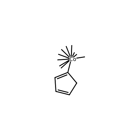 [CH3][Co]([CH3])([CH3])([CH3])([CH3])([CH3])([CH3])([CH3])([CH3])([CH3])[C]1=CC=CC1